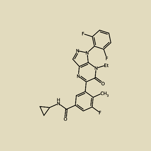 CCn1c(=O)c(-c2cc(C(=O)NC3CC3)cc(F)c2C)nc2cnn(-c3c(F)cccc3F)c21